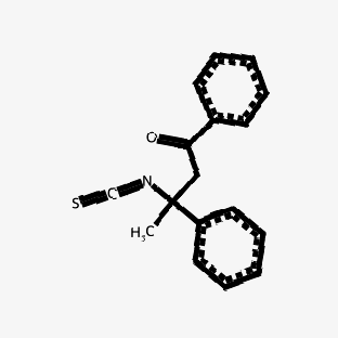 CC(CC(=O)c1ccccc1)(N=C=S)c1ccccc1